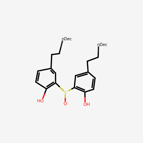 CCCCCCCCCCCCc1ccc(O)c([S+]([O-])c2cc(CCCCCCCCCCCC)ccc2O)c1